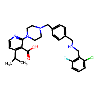 CC(C)c1ccnc(N2CCN(Cc3ccc(CNCc4c(F)cccc4Cl)cc3)CC2)c1C(=O)O